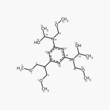 COCC(COC)c1nc(N(COC)C(C)O)nc(N(COC)C(C)O)n1